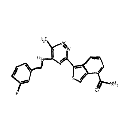 Cc1nnc(-c2scc3c(C(N)=O)cccc23)nc1NCc1cccc(F)c1